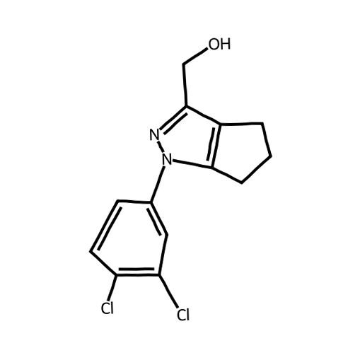 OCc1nn(-c2ccc(Cl)c(Cl)c2)c2c1CCC2